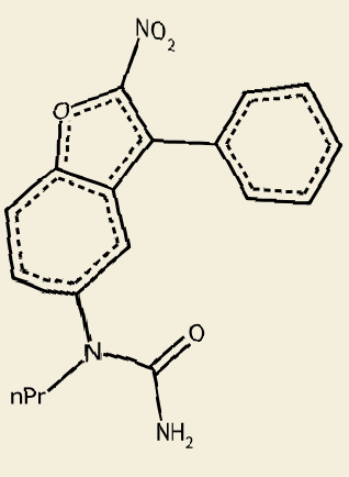 CCCN(C(N)=O)c1ccc2oc([N+](=O)[O-])c(-c3ccccc3)c2c1